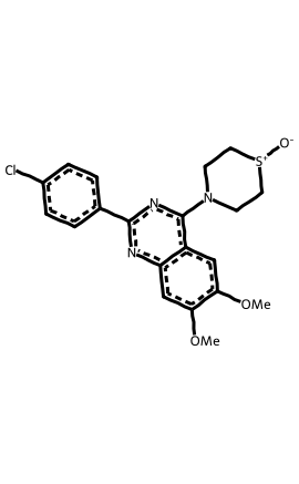 COc1cc2nc(-c3ccc(Cl)cc3)nc(N3CC[S+]([O-])CC3)c2cc1OC